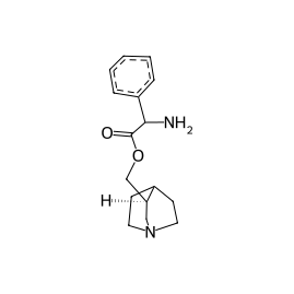 NC(C(=O)OC[C@@H]1CN2CCC1CC2)c1ccccc1